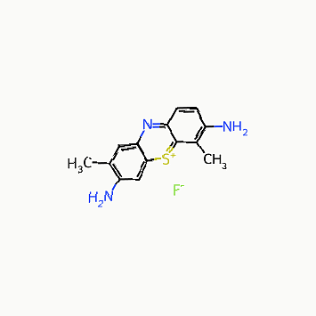 Cc1cc2nc3ccc(N)c(C)c3[s+]c2cc1N.[F-]